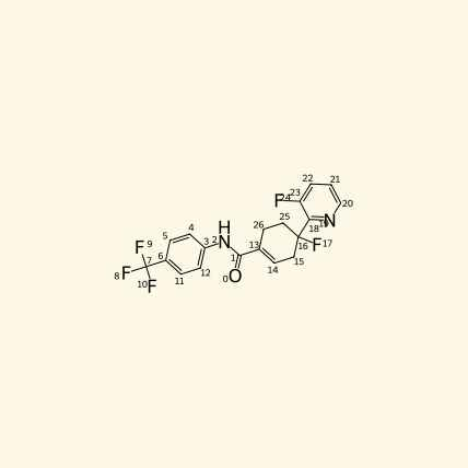 O=C(Nc1ccc(C(F)(F)F)cc1)C1=CCC(F)(c2ncccc2F)CC1